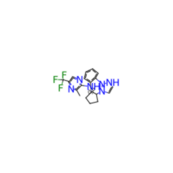 [CH]c1ccccc1N1NC=CN1C1CCC[C@@H]1Nc1ncc(C(F)(F)F)nc1C